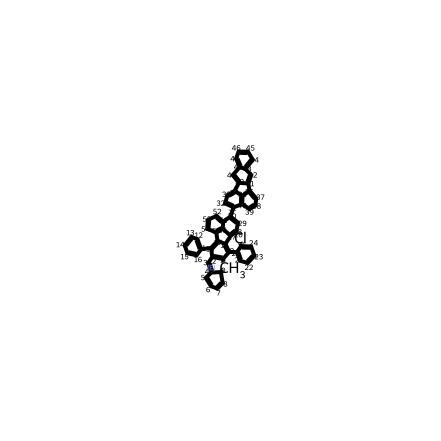 Cc1c(/C=C2/C=CC=CC2)c(-c2ccccc2)c2c(c1-c1ccccc1Cl)-c1ccc(-c3ccc4c5c(cccc35)-c3cc5ccccc5cc3-4)c3cccc-2c13